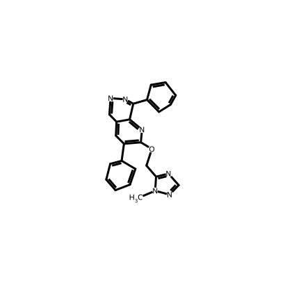 Cn1ncnc1COc1nc2c(-c3ccccc3)nncc2cc1-c1ccccc1